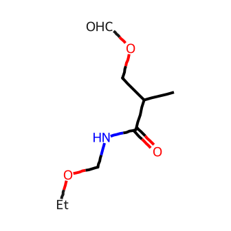 CCOCNC(=O)C(C)COC=O